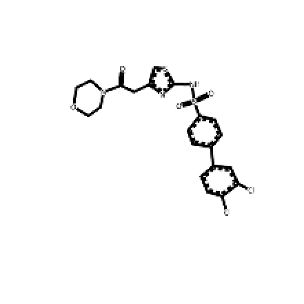 O=C(Cc1csc(NS(=O)(=O)c2ccc(-c3ccc(Cl)c(Cl)c3)cc2)n1)N1CCOCC1